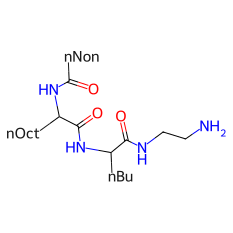 CCCCCCCCCC(=O)NC(CCCCCCCC)C(=O)NC(CCCC)C(=O)NCCN